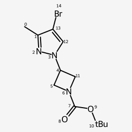 Cc1nn(C2CN(C(=O)OC(C)(C)C)C2)cc1Br